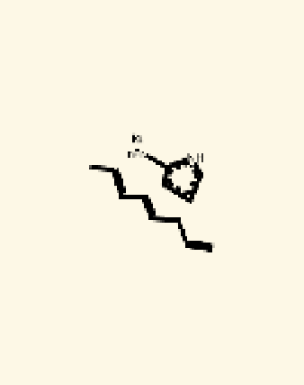 C=CCC=CC=CC.CCCc1ccc[nH]1.[Ru]